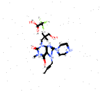 CC#CCn1c(N2CCNCC2)nc2c1c(=O)n(C)c(=O)n2CC(C)(C)CO.O=C(O)C(F)(F)F